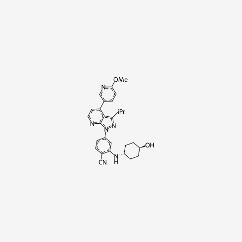 COc1ccc(-c2ccnc3c2c(C(C)C)nn3-c2ccc(C#N)c(N[C@H]3CC[C@H](O)CC3)c2)cn1